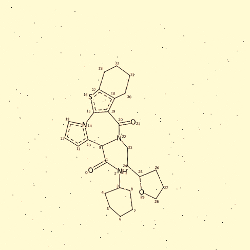 O=C(NC1CCCCC1)C1c2cccn2-c2sc3c(c2C(=O)N1CCC1CCCO1)CCCC3